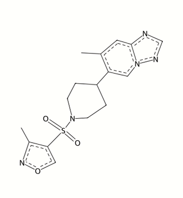 Cc1cc2ncnn2cc1C1CCN(S(=O)(=O)c2conc2C)CC1